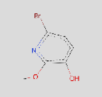 COc1nc(Br)ccc1O